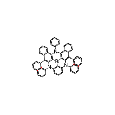 c1ccc(-c2c3c4c(c5ccccc25)N(c2ccccc2)c2c5c(c(-c6ccccc6)c6ccccc26)N(c2ccccc2)c2cccc(c2B45)N3c2ccccc2)cc1